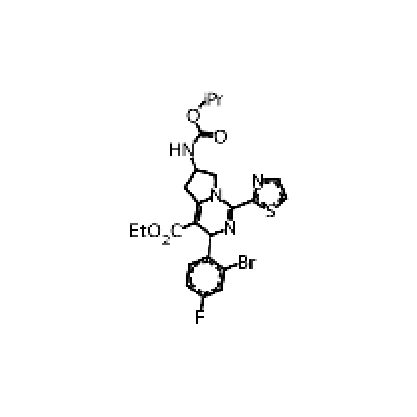 CCOC(=O)C1=C2C[C@@H](NC(=O)OC(C)C)CN2C(c2nccs2)=N[C@H]1c1ccc(F)cc1Br